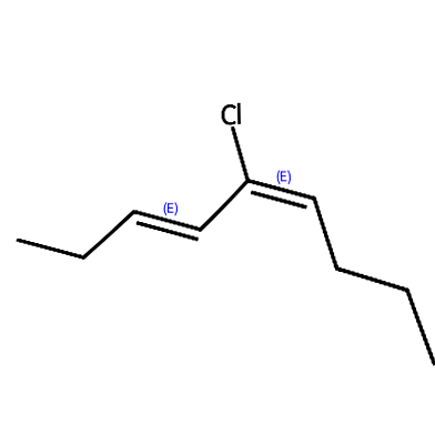 CC/C=C/C(Cl)=C\CCC